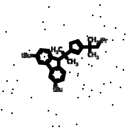 CC(C)CC(C)(C)C1=CCC(C(C)(C)C2c3ccc(C(C)(C)C)cc3-c3cc(C(C)(C)C)ccc32)=C1